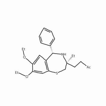 CCOc1cc2c(cc1OCC)[C@H](c1ccccc1)N[C@@](CC)(CCC(C)=O)CS2